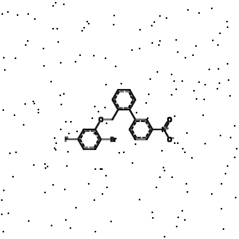 O=[N+]([O-])c1cccc(-c2ccccc2COc2cc(F)ccc2Br)c1